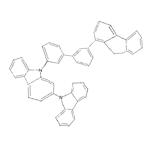 c1cc(-c2cccc(-n3c4ccccc4c4ccc(-n5c6ccccc6c6ccccc65)cc43)c2)cc(-c2cccc3c2Cc2ccccc2-3)c1